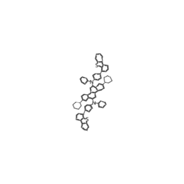 c1ccc(N(c2ccc(-c3cccc4c3sc3ccccc34)cc2)c2cc3c4ccc(C5CCCCC5)cc4c(N(c4ccccc4)c4ccc(-c5cccc6c5sc5ccccc56)cc4)cc3c3ccc(C4CCCCC4)cc23)cc1